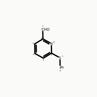 CC(C)Sc1cccc(C=O)n1